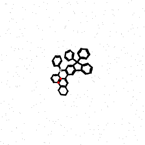 c1ccc(N(c2ccccc2)c2cc3c(cc2-c2ccc4c(c2)CCCC4)-c2ccccc2C3(c2ccccc2)c2ccccc2)cc1